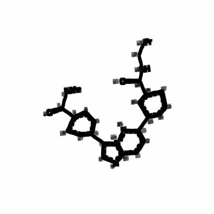 CNC(=O)c1ccc(-c2cnc3ccc(-c4cccc(C(=O)NCC(C)C)c4)nn23)cc1